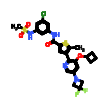 Cc1sc(C(=O)Nc2cc(Cl)cc(NS(C)(=O)=O)c2)cc1-c1ncc(N2CC(F)(F)C2)cc1OC1CCC1